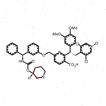 COc1ccc([C@H](Cc2c(Cl)c[n+]([O-])cc2Cl)c2nc(COc3cccc([C@@H](NC(=O)O[C@H]4CN5CCC4CC5)c4ccccc4)c3)ccc2C(=O)O)cc1OC